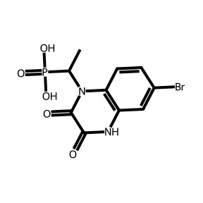 CC(n1c(=O)c(=O)[nH]c2cc(Br)ccc21)P(=O)(O)O